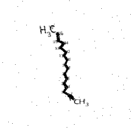 CC#CCCCCCCCCCCCCCCC